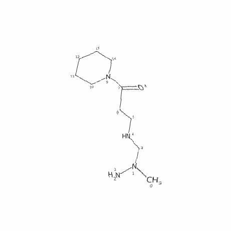 CN(N)CNCCC(=O)N1CCCCC1